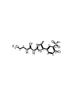 Cc1nc(NC(=O)NCCC(F)(F)F)sc1-c1ccc(Cl)c(S(C)(=O)=O)c1